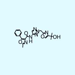 Cc1nc(C(=O)Nc2cnn(Cc3nc(C(C)(C)O)co3)n2)c(-c2ccccc2)o1